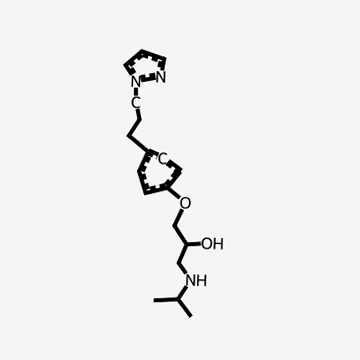 CC(C)NCC(O)COc1ccc(CCCn2cccn2)cc1